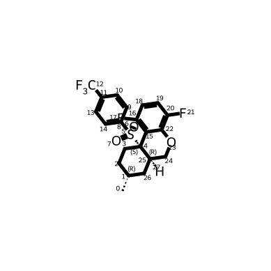 C[C@@H]1CC[C@@]2(S(=O)(=O)c3ccc(C(F)(F)F)cc3)c3c(F)ccc(F)c3OC[C@H]2C1